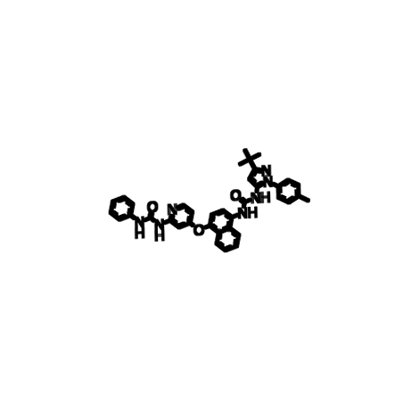 Cc1ccc(-n2nc(C(C)(C)C)cc2NC(=O)Nc2ccc(Oc3ccnc(NC(=O)Nc4ccccc4)c3)c3ccccc23)cc1